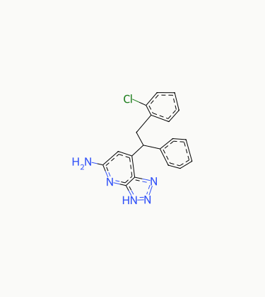 Nc1cc(C(Cc2ccccc2Cl)c2ccccc2)c2nn[nH]c2n1